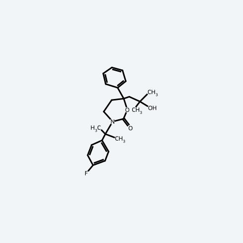 CC(C)(O)CC1(c2ccccc2)CCN(C(C)(C)c2ccc(F)cc2)C(=O)O1